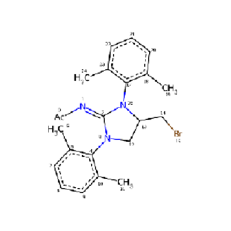 CC(=O)N=C1N(c2c(C)cccc2C)CC(CBr)N1c1c(C)cccc1C